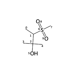 CC(C(C)(C)O)S(C)(=O)=O